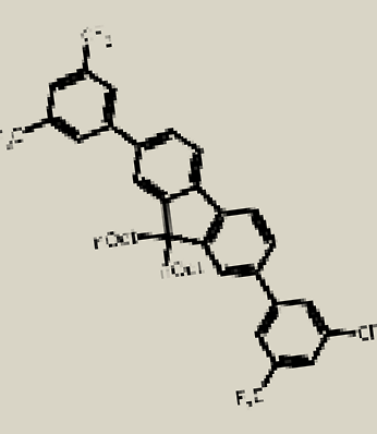 CCCCCCCCC1(CCCCCCCC)c2cc(-c3cc(C(F)(F)F)cc(C(F)(F)F)c3)ccc2-c2ccc(-c3cc(C(F)(F)F)cc(C(F)(F)F)c3)cc21